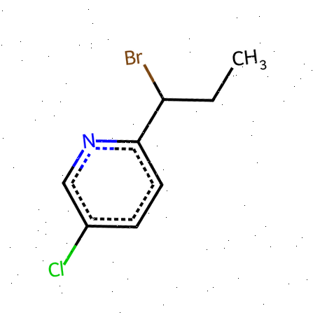 CCC(Br)c1ccc(Cl)cn1